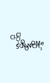 COC1(C)CN(C(=O)Cn2ccc3scc(-c4ccc(Cl)c(Cl)c4)c3c2=O)C1